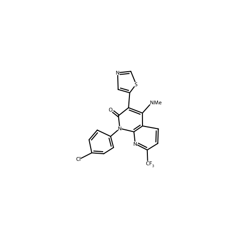 CNc1c(-c2cncs2)c(=O)n(-c2ccc(Cl)cc2)c2nc(C(F)(F)F)ccc12